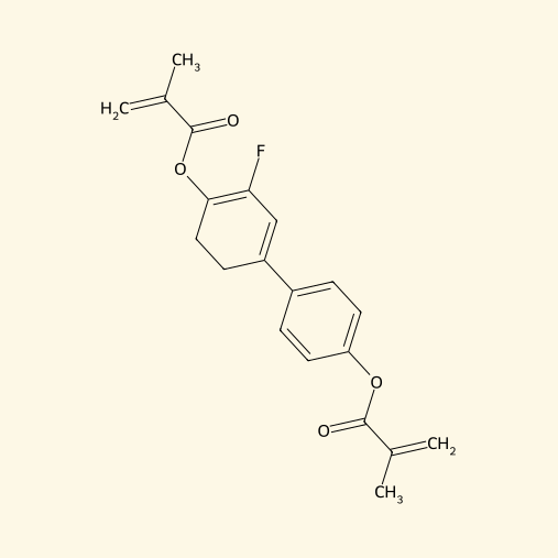 C=C(C)C(=O)OC1=C(F)C=C(c2ccc(OC(=O)C(=C)C)cc2)CC1